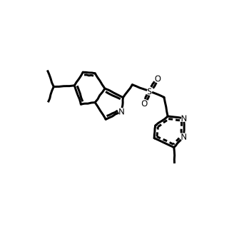 Cc1ccc(CS(=O)(=O)CC2=C3C=CC(C(C)C)=CC3C=N2)nn1